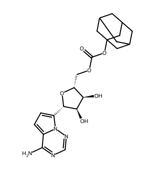 Nc1ncnn2c([C@@H]3O[C@H](COC(=O)OC45CC6CC(CC(C6)C4)C5)[C@@H](O)[C@H]3O)ccc12